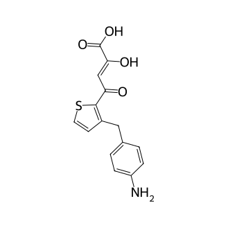 Nc1ccc(Cc2ccsc2C(=O)C=C(O)C(=O)O)cc1